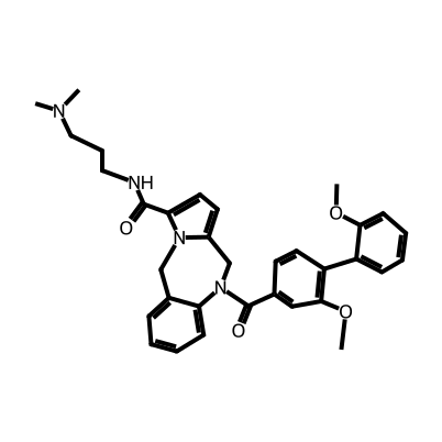 COc1ccccc1-c1ccc(C(=O)N2Cc3ccc(C(=O)NCCCN(C)C)n3Cc3ccccc32)cc1OC